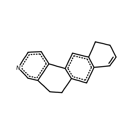 C1=Cc2cc3c(cc2CC1)-c1ccncc1CC3